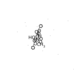 CC(=O)C(C(=O)OCc1ccccc1)N1C(=O)[C@@H]2[C@H]1[C@@H](O)CN2OC(=O)OCc1ccccc1